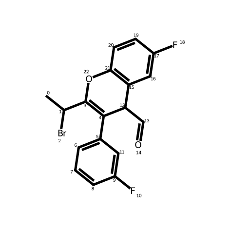 CC(Br)C1=C(c2cccc(F)c2)C(C=O)c2cc(F)ccc2O1